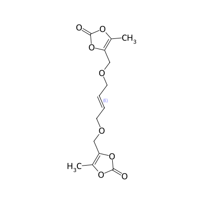 Cc1oc(=O)oc1COC/C=C/COCc1oc(=O)oc1C